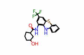 O=C(Nc1cc(C(F)(F)F)cc2c1Nc1ccccc1S2)C1CCCC(O)C1